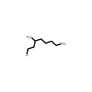 CCCCCC(C)CCCl